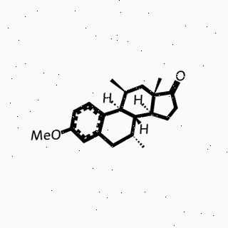 COc1ccc2c(c1)C[C@@H](C)[C@@H]1[C@@H]2[C@@H](C)C[C@]2(C)C(=O)CC[C@@H]12